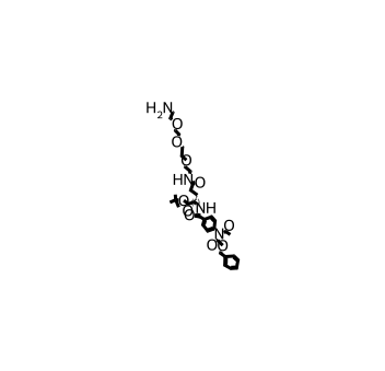 CC(=O)N(C(=O)OCc1ccccc1)c1ccc(C(=O)N[C@@H](CCC(=O)NCCOCCOCCOCCN)C(=O)OC(C)(C)C)cc1